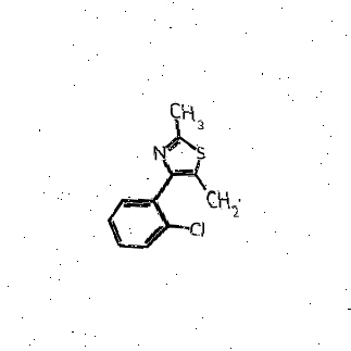 [CH2]c1sc(C)nc1-c1ccccc1Cl